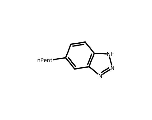 CCCCCc1ccc2[nH]nnc2c1